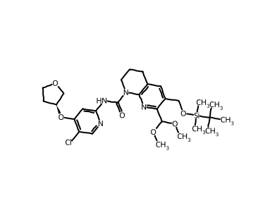 COC(OC)c1nc2c(cc1CO[Si](C)(C)C(C)(C)C)CCCN2C(=O)Nc1cc(O[C@H]2CCOC2)c(Cl)cn1